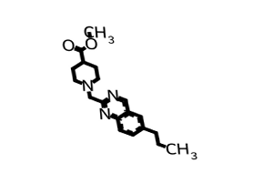 CCCc1ccc2nc(CN3CCC(C(=O)OC)CC3)ncc2c1